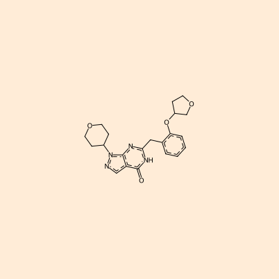 O=c1[nH]c(Cc2ccccc2OC2CCOC2)nc2c1cnn2C1CCOCC1